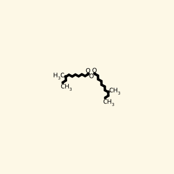 CCCC(C)CCCCCCC(=O)OC(=O)CCCCCCC(C)CCC